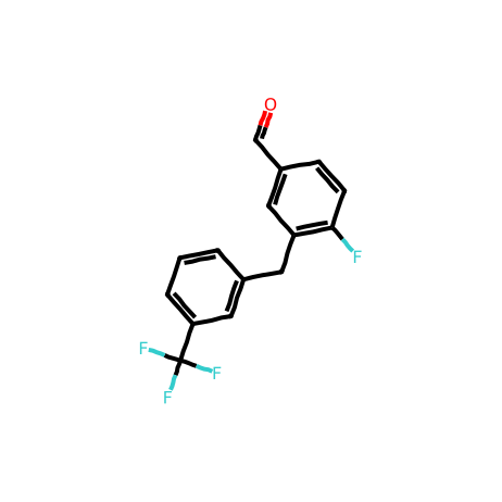 O=Cc1ccc(F)c(Cc2cccc(C(F)(F)F)c2)c1